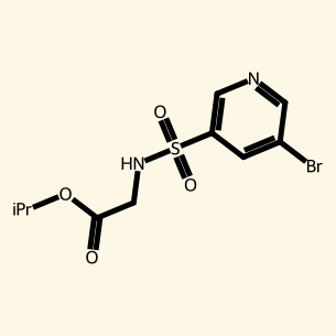 CC(C)OC(=O)CNS(=O)(=O)c1cncc(Br)c1